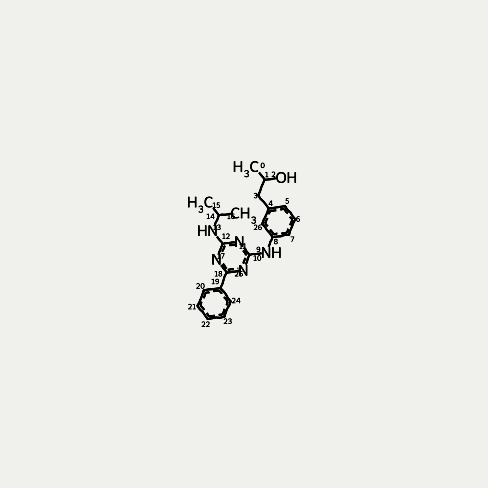 CC(O)Cc1cccc(Nc2nc(NC(C)C)nc(-c3ccccc3)n2)c1